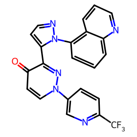 O=c1ccn(-c2ccc(C(F)(F)F)nc2)nc1-c1ccnn1-c1cccc2ncccc12